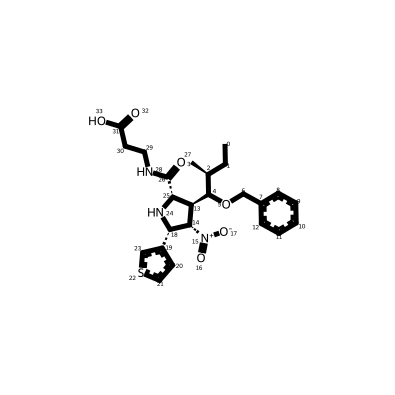 CC[C@H](C)C(OCc1ccccc1)[C@H]1[C@H]([N+](=O)[O-])[C@H](c2ccsc2)N[C@@H]1C(=O)NCCC(=O)O